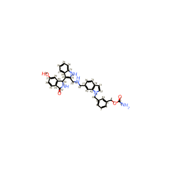 NC(=O)OCc1cccc(Cn2ccc3ccc(CNCc4[nH]c5ccccc5c4C4NC(=O)c5ccc(O)cc54)cc32)c1